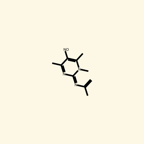 C=C(C)/N=c1/nc(C)c(N=O)c(C)n1C